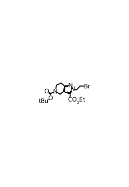 CCOC(=O)c1c2c(nn1CCBr)CCN(C(=O)OC(C)(C)C)C2